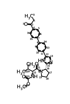 CCC(=O)c1ccc(-c2ccc(-c3cnc([C@@H]4CCCN4C(=O)[C@@H](NC(=O)OC)C(C)C)[nH]3)cc2)cc1